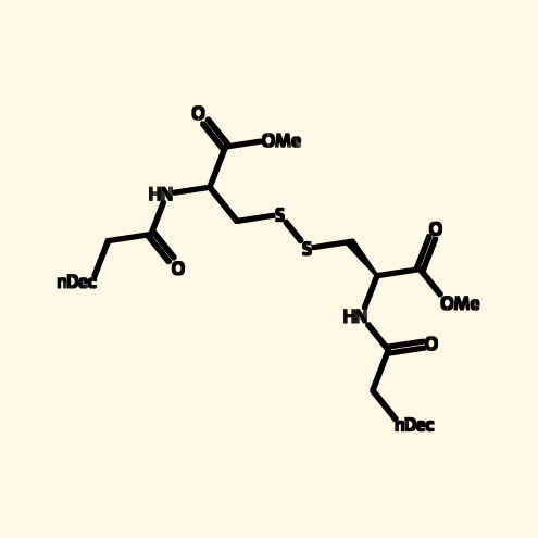 CCCCCCCCCCCC(=O)NC(CSSC[C@H](NC(=O)CCCCCCCCCCC)C(=O)OC)C(=O)OC